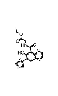 CCOC(=O)CNC(=O)c1c(O)c(-c2cncs2)cc2nccnc12